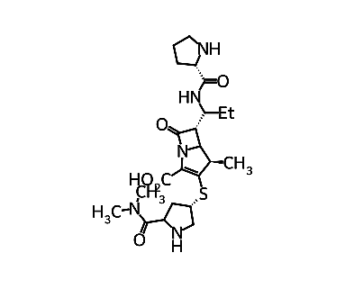 CCC(NC(=O)[C@@H]1CCCN1)[C@H]1C(=O)N2C(C(=O)O)=C(S[C@@H]3CNC(C(=O)N(C)C)C3)[C@H](C)C12